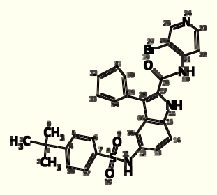 CC(C)(C)c1ccc(S(=O)(=O)Nc2ccc3[nH]c(C(=O)Nc4ccncc4Br)c(-c4ccccc4)c3c2)cc1